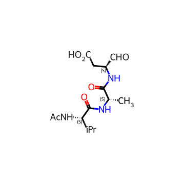 CC(=O)N[C@H](C(=O)N[C@@H](C)C(=O)N[C@H](C=O)CC(=O)O)C(C)C